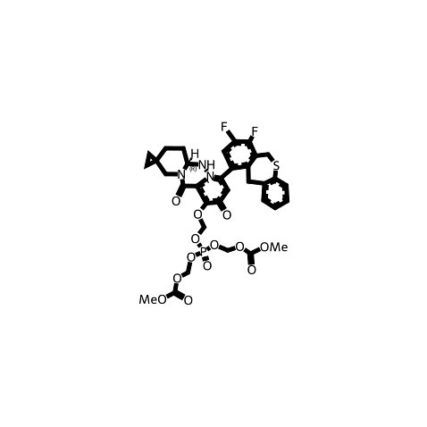 COC(=O)OCOP(=O)(OCOC(=O)OC)OCOc1c2n(c(-c3cc(F)c(F)c4c3Cc3ccccc3SC4)cc1=O)N[C@@H]1CCC3(CC3)CN1C2=O